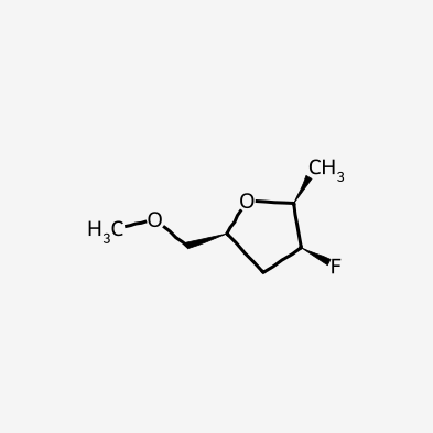 COC[C@@H]1C[C@H](F)[C@H](C)O1